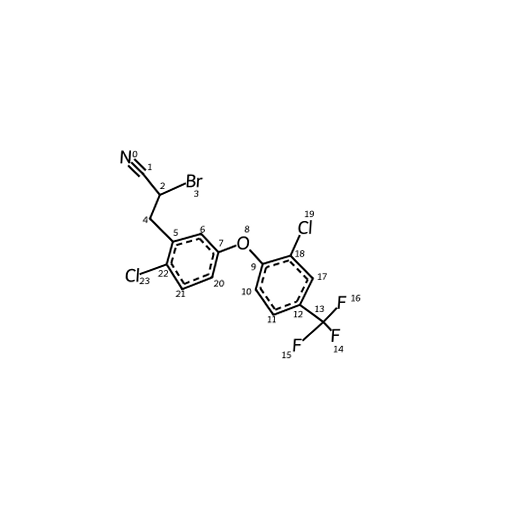 N#CC(Br)Cc1cc(Oc2ccc(C(F)(F)F)cc2Cl)ccc1Cl